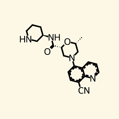 C[C@@H]1CN(c2ccc(C#N)c3ncccc23)C[C@H](C(=O)N[C@@H]2CCCNC2)O1